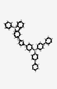 c1ccc(-c2ccc(N(c3ccc(-c4ccccc4)cc3)c3ccc(-c4ccc(-c5ccc6c(c5)c5ccccc5n6-c5ccccc5)s4)cc3)cc2)cc1